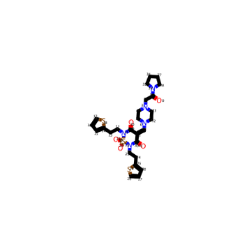 O=C(CN1CCN(C=C2C(=O)N(CCc3cccs3)S(=O)(=O)N(CCc3cccs3)C2=O)CC1)N1CCCC1